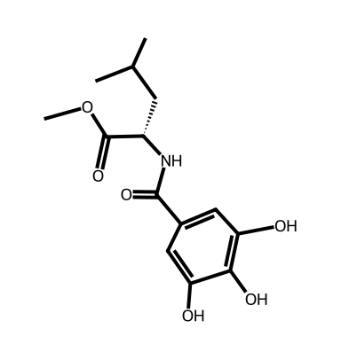 COC(=O)[C@H](CC(C)C)NC(=O)c1cc(O)c(O)c(O)c1